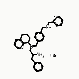 Br.NC(Cc1ccccc1)CN(Cc1ccc(CNCc2ccccn2)cc1)C1CCCc2cccnc21